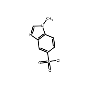 Cn1cnc2cc(S(=O)(=O)Cl)ccc21